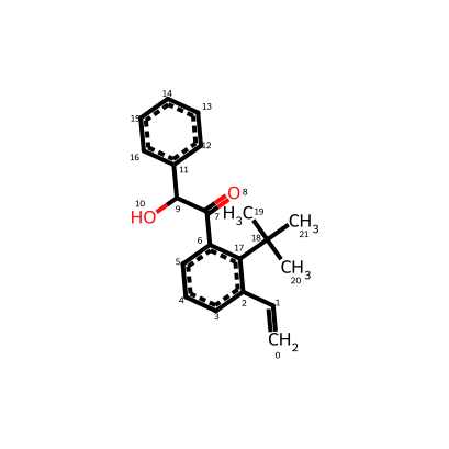 C=Cc1cccc(C(=O)C(O)c2ccccc2)c1C(C)(C)C